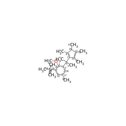 COc1c(C(C)(C)C2=C(C)C(C)C(C)=C2C)cc(C)cc1[Si](C)(C)C